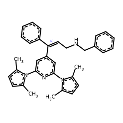 Cc1ccc(C)n1-c1cc(/C(=C\CNCc2ccccc2)c2ccccc2)cc(-n2c(C)ccc2C)n1